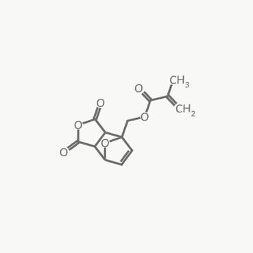 C=C(C)C(=O)OCC12C=CC(O1)C1C(=O)OC(=O)C12